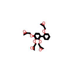 c1ccc(-c2ccc(OCC3CO3)c(OCC3CO3)c2OCC2CO2)c(OCC2CO2)c1